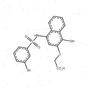 CC(C)c1cccc(S(=O)(=O)Nc2cc(SCC(=O)O)c(O)c3ccccc23)c1